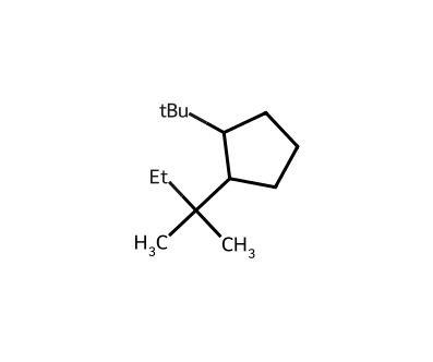 CCC(C)(C)C1CCCC1C(C)(C)C